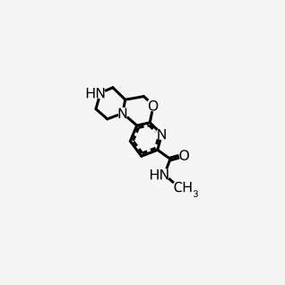 CNC(=O)c1ccc2c(n1)OCC1CNCCN21